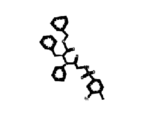 [2H]c1cc(S(=O)(=O)NCC(=O)N(c2ccccc2)[C@@H](Cc2ccccc2)C(=O)OCc2ccccc2)ccc1C